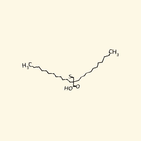 CCCCCCCCCCCCC(C=S)(CCCCCCCCCCCC)C(=O)O